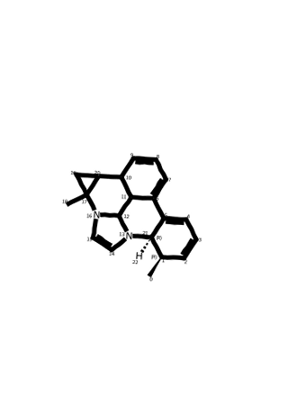 C[C@@H]1C=CC=C2C3=CC=CC4C3C3N(C=CN3C3(C)CC43)[C@@H]21